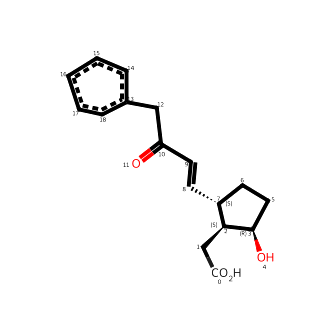 O=C(O)C[C@@H]1[C@H](O)CC[C@H]1C=CC(=O)Cc1ccccc1